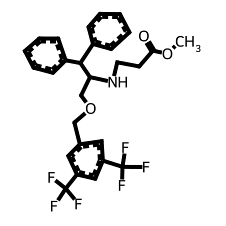 COC(=O)CCNC(COCc1cc(C(F)(F)F)cc(C(F)(F)F)c1)C(c1ccccc1)c1ccccc1